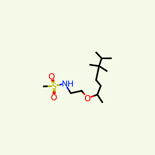 CC(CCC(C)(C)C(C)C)OCCNS(C)(=O)=O